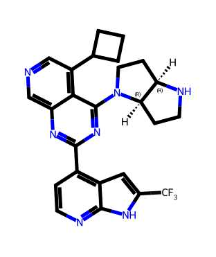 FC(F)(F)c1cc2c(-c3nc(N4CC[C@H]5NCC[C@H]54)c4c(C5CCC5)cncc4n3)ccnc2[nH]1